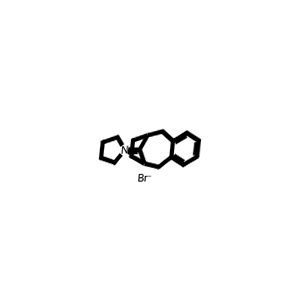 [Br-].c1ccc2c(c1)CC1CCC(C2)C1=[N+]1CCCC1